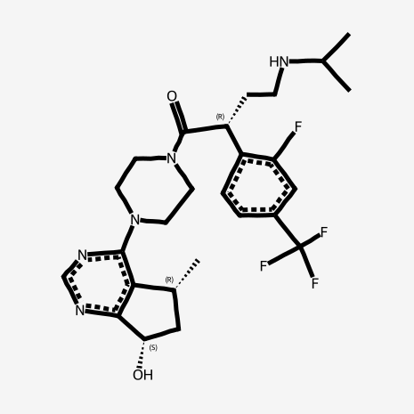 CC(C)NCC[C@@H](C(=O)N1CCN(c2ncnc3c2[C@H](C)C[C@@H]3O)CC1)c1ccc(C(F)(F)F)cc1F